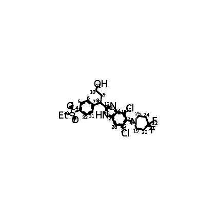 CCS(=O)(=O)c1ccc([C@@H](CCO)c2nc3c(Cl)c(N4CCC(F)(F)CC4)c(Cl)cc3[nH]2)cc1